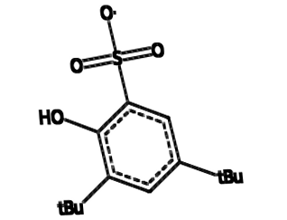 CC(C)(C)c1cc(C(C)(C)C)c(O)c(S([O])(=O)=O)c1